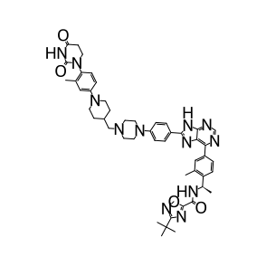 Cc1cc(-c2ncnc3[nH]c(-c4ccc(N5CCN(CC6CCN(c7ccc(N8CCC(=O)NC8=O)c(C)c7)CC6)CC5)cc4)nc23)ccc1[C@@H](C)NC(=O)c1nc(C(C)(C)C)no1